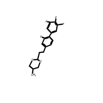 CC1COC(CCc2ccc(-c3cc(F)c(F)c(F)c3)c(F)c2)OC1